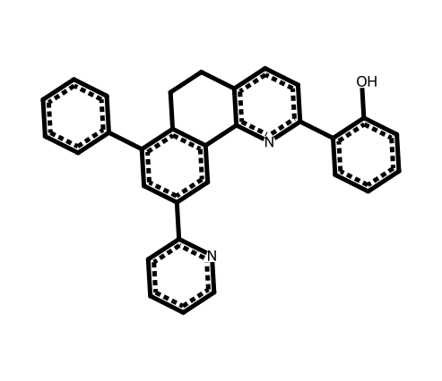 Oc1ccccc1-c1ccc2c(n1)-c1cc(-c3ccccn3)cc(-c3ccccc3)c1CC2